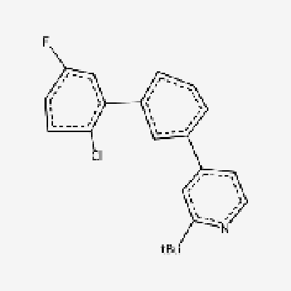 CC(C)(C)c1cc(-c2cccc(-c3cc(F)ccc3Cl)c2)ccn1